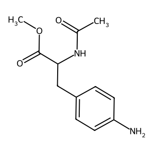 COC(=O)C(Cc1ccc(N)cc1)NC(C)=O